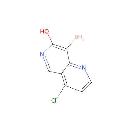 Bc1c(O)ncc2c(Cl)ccnc12